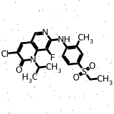 CCS(=O)(=O)c1ccc(Nc2ncc3cc(Cl)c(=O)n(C(C)C)c3c2F)c(C)c1